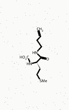 C=CCCNC(=O)[C@H](CCSC)NC(=O)O